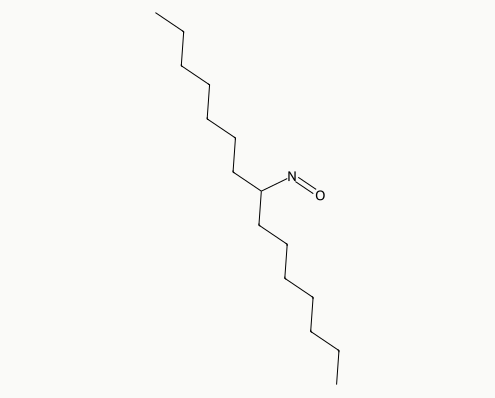 CCCCCCCC(CCCCCCC)N=O